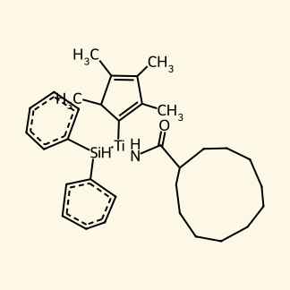 CC1=C(C)C(C)[C]([Ti]([NH]C(=O)C2CCCCCCCCCC2)[SiH](c2ccccc2)c2ccccc2)=C1C